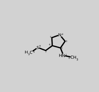 CNC1C[N]CC1CSC